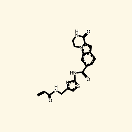 C=CC(=O)NCc1csc(NC(=O)c2ccc3cc4n(c3c2)CCNC4=O)n1